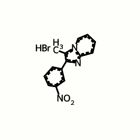 Br.Cc1c(-c2cccc([N+](=O)[O-])c2)nc2ccccn12